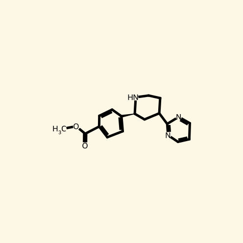 COC(=O)c1ccc([C@@H]2CC(c3ncccn3)CCN2)cc1